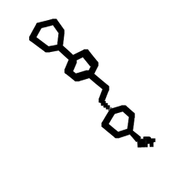 CCC[C@H]1CC[C@H](CCc2ccc(C3CCCCC3)cc2)CC1